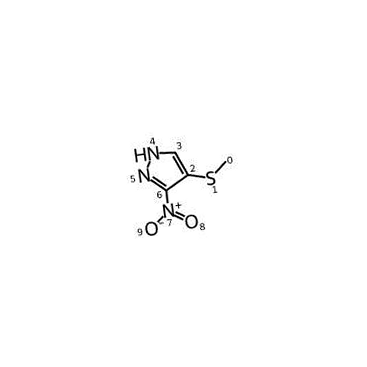 CSc1c[nH]nc1[N+](=O)[O-]